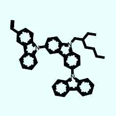 C=Cc1ccc2c(c1)c1ccccc1n2-c1ccc2c(c1)c1cc(-n3c4ccccc4c4ccccc43)ccc1n2CC(CC)CCCC